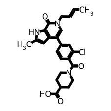 C/C=C/Cn1cc(-c2ccc(C(=O)N3CCC(C(=O)O)CC3)c(Cl)c2)c2cc(C)[nH]c2c1=O